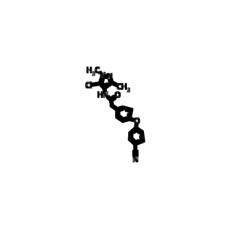 Cc1nn(C)c(Cl)c1NC(=O)Cc1ccc(Oc2ccc(C#N)cc2)cc1